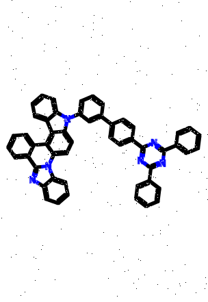 c1ccc(-c2nc(-c3ccccc3)nc(-c3ccc(-c4cccc(-n5c6ccccc6c6c7c8ccccc8c8nc9ccccc9n8c7ccc65)c4)cc3)n2)cc1